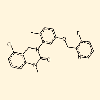 Cc1ccc(OCc2ncccc2F)cc1N1Cc2c(Cl)cccc2N(C)C1=O